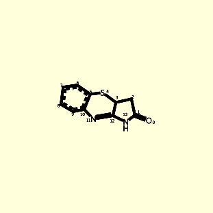 O=C1CC2Sc3ccccc3N=C2N1